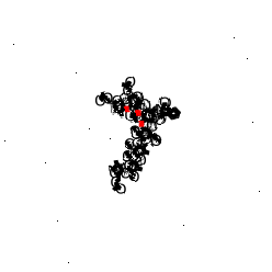 COCC1O[C@@H](O[C@H]2C(C)C(C)[C@@H](O[C@H]3C(C)C(OC)[C@H](O[C@@H]4C(COC(C)=O)O[C@@H](C)C(C)[C@H]4C)O[C@H]3COC)O[C@H]2COC)C(OC)[C@@H](C)[C@@H]1O[C@H]1OC(CN2C(=O)c3ccccc3C2=O)[C@@H](O[C@@H]2O[C@@H](COC(C)=O)[C@@H](O[C@H]3O[C@@H](COC(C)=O)[C@@H](C)C(C)C3C)C(C)C2OC(C)=O)[C@H](C)C1C